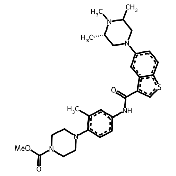 COC(=O)N1CCN(c2ccc(NC(=O)c3csc4ccc(N5CC(C)N(C)[C@@H](C)C5)cc34)cc2C)CC1